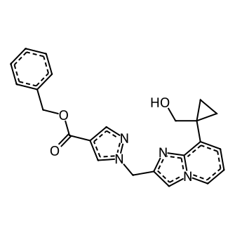 O=C(OCc1ccccc1)c1cnn(Cc2cn3cccc(C4(CO)CC4)c3n2)c1